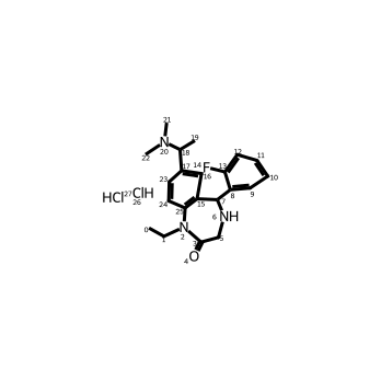 CCN1C(=O)CNC(c2ccccc2F)c2cc(C(C)N(C)C)ccc21.Cl.Cl